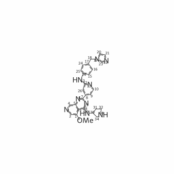 COc1cncc2nc(-c3ccnc(Nc4ccc(Cn5ccnc5)cc4)c3)nc(NC3CCNC3)c12